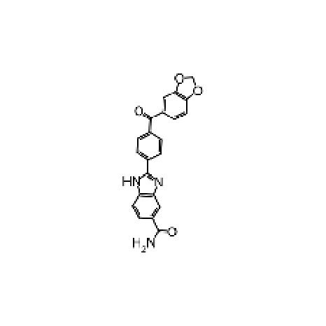 NC(=O)c1ccc2[nH]c(-c3ccc(C(=O)c4ccc5c(c4)OCO5)cc3)nc2c1